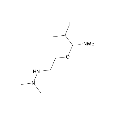 CN[C@H](OCCNN(C)C)C(C)I